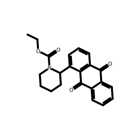 CCOC(=O)N1CCCCC1c1cccc2c1C(=O)c1ccccc1C2=O